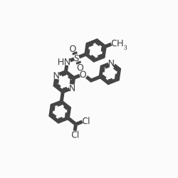 Cc1ccc(S(=O)(=O)Nc2ncc(-c3cccc(C(Cl)Cl)c3)nc2OCc2cccnc2)cc1